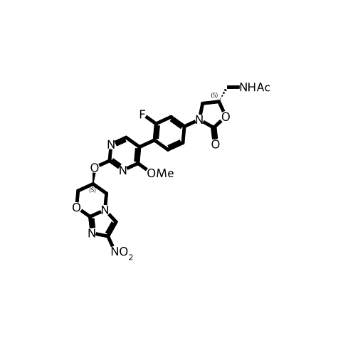 COc1nc(O[C@@H]2COc3nc([N+](=O)[O-])cn3C2)ncc1-c1ccc(N2C[C@H](CNC(C)=O)OC2=O)cc1F